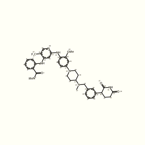 CNC(=O)c1ccccc1Nc1cc(Nc2ccc(N3CCC(N(C)Cc4cccc(C5CCC(=O)NC5=O)c4)CC3)cc2OC)ncc1C(F)(F)F